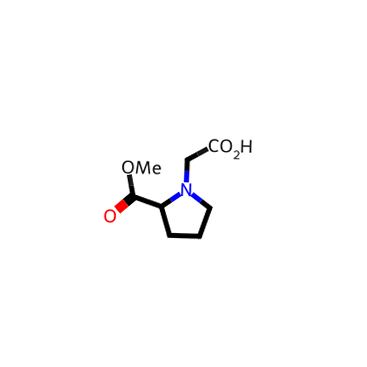 COC(=O)C1CCCN1CC(=O)O